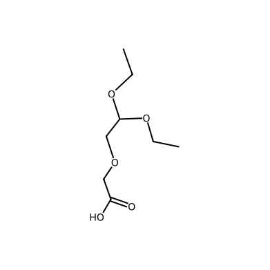 CCOC(COCC(=O)O)OCC